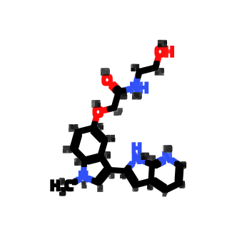 Cn1cc(-c2cc3cccnc3[nH]2)c2cc(OCC(=O)NCCO)ccc21